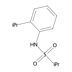 CC(C)c1ccccc1NS(=O)(=O)C(C)C